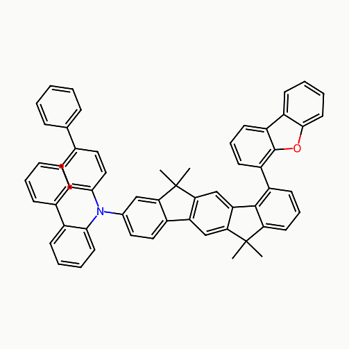 CC1(C)c2cc(N(c3ccc(-c4ccccc4)cc3)c3ccccc3-c3ccccc3)ccc2-c2cc3c(cc21)-c1c(-c2cccc4c2oc2ccccc24)cccc1C3(C)C